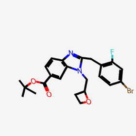 CC(C)(C)OC(=O)c1ccc2nc(Cc3ccc(Br)cc3F)n(CC3CCO3)c2c1